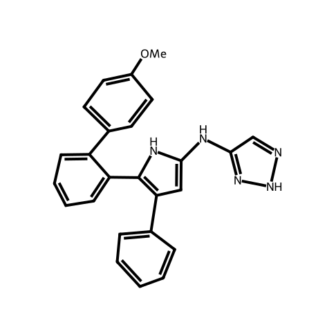 COc1ccc(-c2ccccc2-c2[nH]c(Nc3cn[nH]n3)cc2-c2ccccc2)cc1